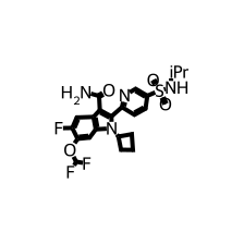 CC(C)NS(=O)(=O)c1ccc(-c2c(C(N)=O)c3cc(F)c(OC(F)F)cc3n2C2CCC2)nc1